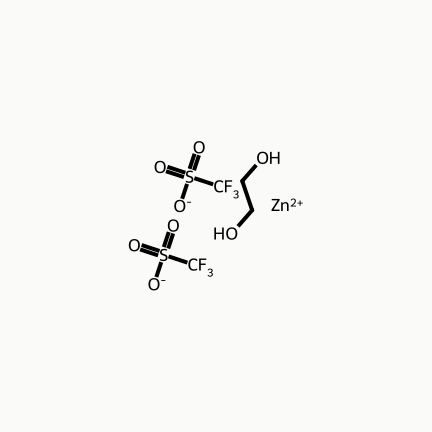 O=S(=O)([O-])C(F)(F)F.O=S(=O)([O-])C(F)(F)F.OCCO.[Zn+2]